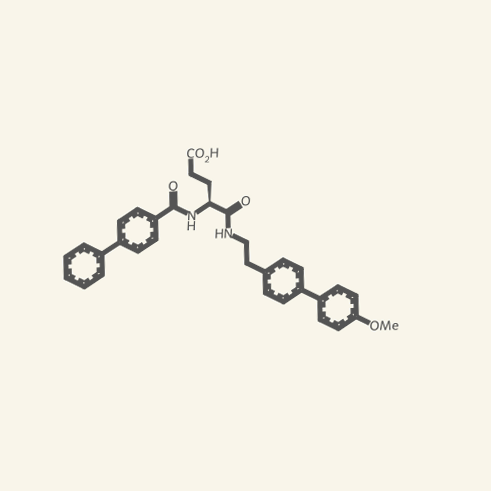 COc1ccc(-c2ccc(CCNC(=O)[C@H](CCC(=O)O)NC(=O)c3ccc(-c4ccccc4)cc3)cc2)cc1